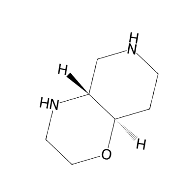 C1C[C@H]2OCCN[C@@H]2CN1